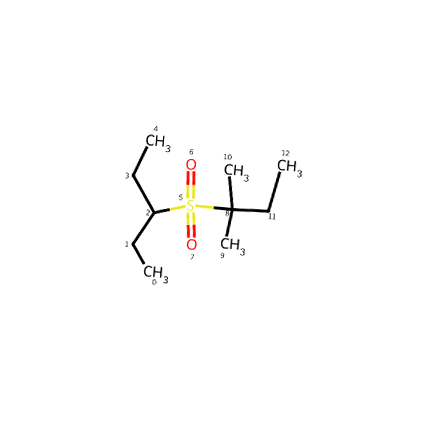 CCC(CC)S(=O)(=O)C(C)(C)CC